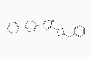 c1ccc(CN2CC(c3nc(-c4ccc(-c5ccccc5)nc4)c[nH]3)C2)cc1